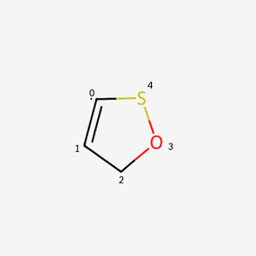 [C]1=CCOS1